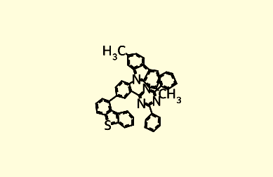 Cc1ccc2c3ccc(C)cc3n(-c3ccc(-c4cccc5sc6ccccc6c45)cc3-c3nc(-c4ccccc4)nc(-c4ccccc4)n3)c2c1